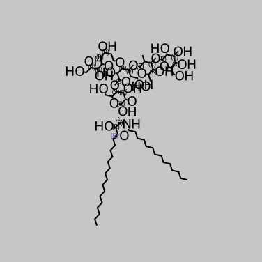 CCCCCCCCCCCCCCC/C=C/[C@@H](O)[C@H](CO[C@@H]1OC(CO)[C@@H](O[C@@H]2OC(CO)[C@H](O[C@@H]3OC(CO)[C@H](O)[C@H](O[C@@H]4OC(CO)[C@H](O)[C@H](O)C4O)C3C)[C@H](OC3C[C@@H](O)[C@@H](C)C([C@H](O)[C@H](O)CO)O3)C2O)[C@H](O)C1O)NC(=O)CCCCCCCCCCCCC